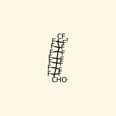 O=[C]C(F)(F)C(F)(F)C(F)(F)C(F)(F)C(F)(F)C(F)(F)C(F)(F)C(F)(F)F